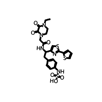 CCN1CCN(CC(=O)NC(Cc2ccc(NS(=O)(=O)O)cc2)c2csc(-c3cccs3)n2)C(=O)C1=O